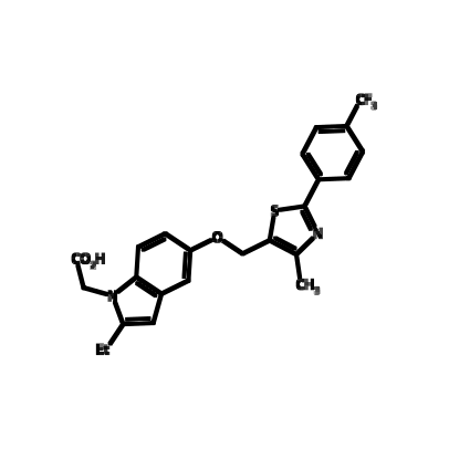 CCc1cc2cc(OCc3sc(-c4ccc(C(F)(F)F)cc4)nc3C)ccc2n1CC(=O)O